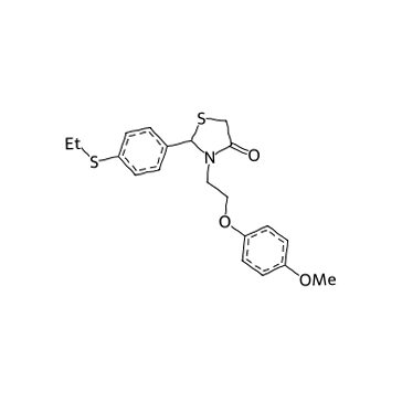 CCSc1ccc(C2SCC(=O)N2CCOc2ccc(OC)cc2)cc1